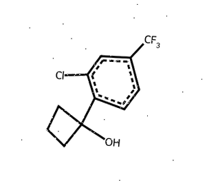 OC1(c2ccc(C(F)(F)F)cc2Cl)CCC1